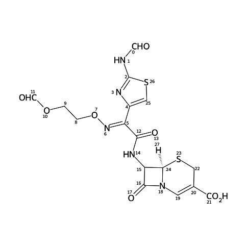 O=CNc1nc(C(=NOCCOC=O)C(=O)NC2C(=O)N3C=C(C(=O)O)CS[C@H]23)cs1